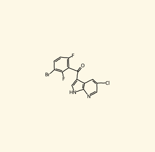 O=C(c1c(F)ccc(Br)c1F)c1c[nH]c2ncc(Cl)cc12